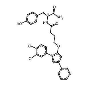 NC(=O)[C@H](Cc1ccc(O)cc1)NC(=O)CCCOc1cc(-c2cccnc2)nn1-c1ccc(Cl)c(Cl)c1